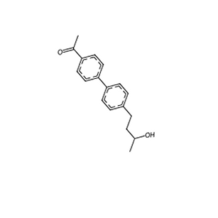 CC(=O)c1ccc(-c2ccc(CCC(C)O)cc2)cc1